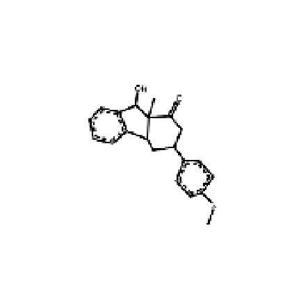 CSc1ccc(C2CC(=O)C3(C)C(O)c4ccccc4C3C2)cc1